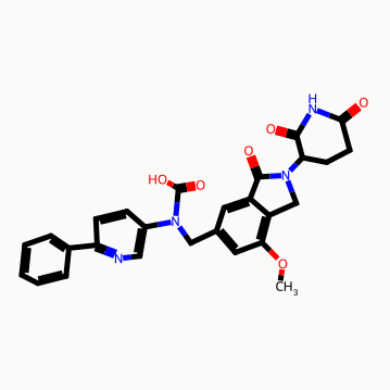 COc1cc(CN(C(=O)O)c2ccc(-c3ccccc3)nc2)cc2c1CN(C1CCC(=O)NC1=O)C2=O